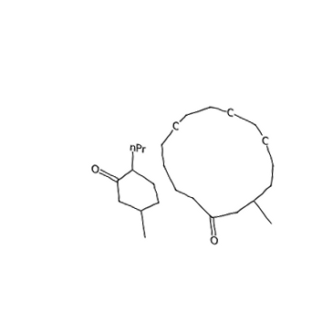 CC1CCCCCCCCCCCCC(=O)C1.CCCC1CCC(C)CC1=O